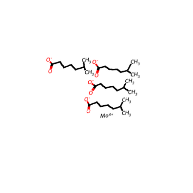 CC(C)CCCCC(=O)[O-].CC(C)CCCCC(=O)[O-].CC(C)CCCCC(=O)[O-].CC(C)CCCCC(=O)[O-].[Mo+4]